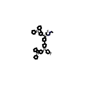 C=C(/C=C\C(F)=C/C)N(c1ccc(-c2ccc(N(c3ccc4c(c3)c3ccccc3n4-c3ccccc3)C3C=CC(F)=CC3)cc2)cc1)c1ccc2c(c1)c1ccccc1n2-c1ccccc1